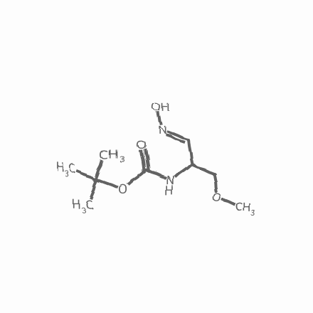 COCC(C=NO)NC(=O)OC(C)(C)C